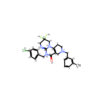 N#Cc1cccc(CN2CCC3=C(C2)C(=O)N(Cc2ccc(Cl)cc2)C2=NCC(F)(F)CN23)c1